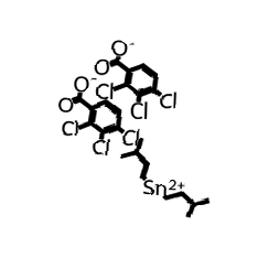 CC(C)C[CH2][Sn+2][CH2]CC(C)C.O=C([O-])c1ccc(Cl)c(Cl)c1Cl.O=C([O-])c1ccc(Cl)c(Cl)c1Cl